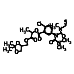 CC(OC(=O)c1cc(N(C(=O)N(C)C)C(=O)N(C)C=S)ccc1Cl)C(=O)OCC1COC(C)(C)O1